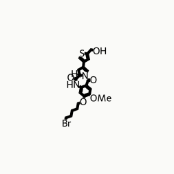 COc1cc2c(cc1OCCCCCBr)NC(=O)[C@@H]1CC(c3csc(CO)c3)=CN1C2=O